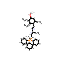 COc1cc(C)c(/C=C/C(C)=C/CP(C)(c2ccccc2)(c2ccccc2)c2ccccc2)c(C)c1C